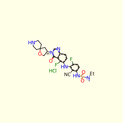 CCN(C)S(=O)(=O)Nc1ccc(F)c(Nc2ccc3ncn([C@H]4COC5(CCNCC5)C4)c(=O)c3c2F)c1C#N.Cl